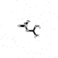 CC(C)C(N)O[SH](=O)=O